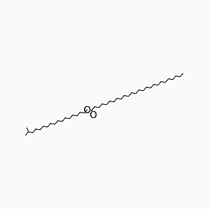 CCCCCCCCCCCCCCCCCCCCCCCCCC(=O)OCCCCCCCCCCCCCCCC(C)C